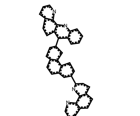 c1cnc2c(c1)ccc1ccc(-c3ccc4c(ccc5ccc(-c6c7ccccc7nc7c6ccc6cccnc67)cc54)c3)nc12